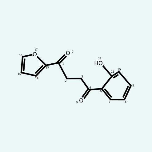 O=C(CCC(=O)c1ccccc1O)c1ccco1